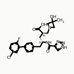 CC1(O)CN(C[C@@H](C[C@@H](Cc2ccc(-c3cc(Cl)ccc3F)cc2)NC(=O)c2c[nH]nn2)C(=O)O)C1